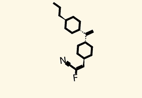 C=C([C@H]1CC[C@H](/C=C(/F)C#N)CC1)[C@H]1CC[C@H](CCC)CC1